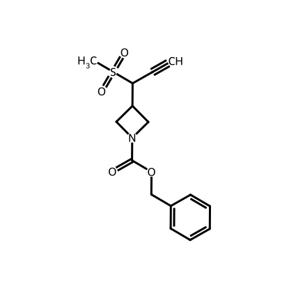 C#CC(C1CN(C(=O)OCc2ccccc2)C1)S(C)(=O)=O